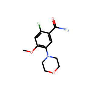 COc1cc(Cl)c(C(N)=O)cc1N1CCOCC1